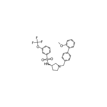 COc1ccccc1-c1ccc(CN2CC[C@@H](NS(=O)(=O)c3cccc(OC(F)(F)F)c3)C2)cc1